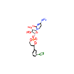 Nc1ccn([C@@H]2O[C@H](CO[P@]3(=O)OCC[C@H](c4cccc(Cl)c4)O3)[C@@H](O)[C@@H]2O)c(=O)n1